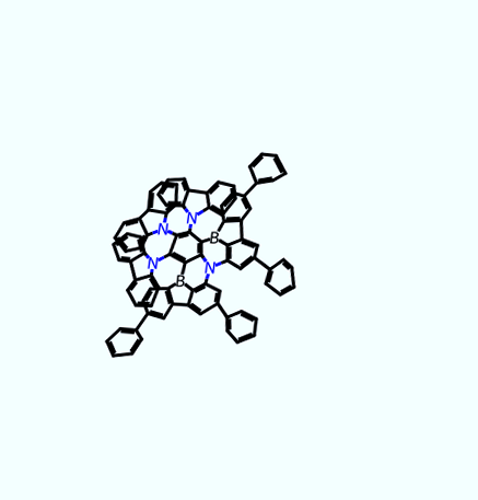 c1ccc(-c2ccc3c(c2)-c2cc(-c4ccccc4)cc4c2B3c2c3c(c(-n5c6ccccc6c6ccccc65)c(-n5c6ccccc6c6ccccc65)c2-n2c5ccccc5c5ccccc52)B2c5ccc(-c6ccccc6)cc5-c5cc(-c6ccccc6)cc(c52)N43)cc1